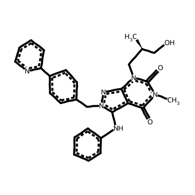 C[C@@H](CO)Cn1c(=O)n(C)c(=O)c2c(Nc3ccccc3)n(Cc3ccc(-c4ccccn4)cc3)nc21